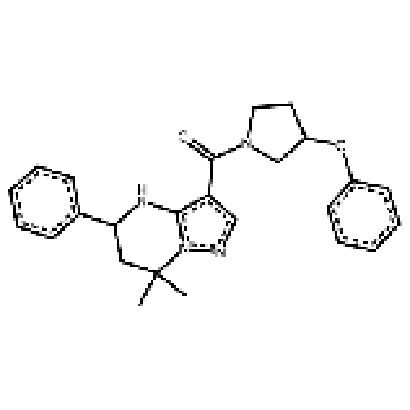 CC1(C)CC(c2ccccc2)Nc2c(C(=O)N3CCC(Oc4ccccc4)C3)cnn21